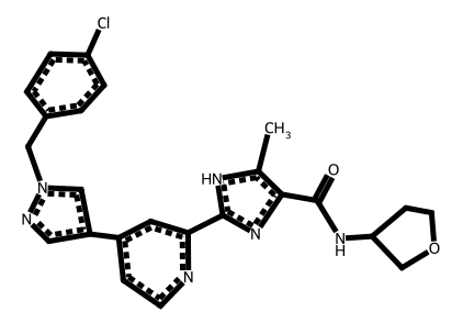 Cc1[nH]c(-c2cc(-c3cnn(Cc4ccc(Cl)cc4)c3)ccn2)nc1C(=O)NC1CCOC1